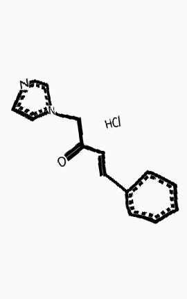 Cl.O=C(C=Cc1ccccc1)Cn1ccnc1